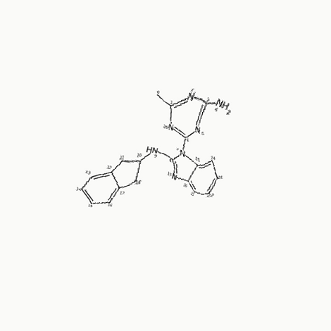 Cc1nc(N)nc(-n2c(NC3Cc4ccccc4C3)nc3ccccc32)n1